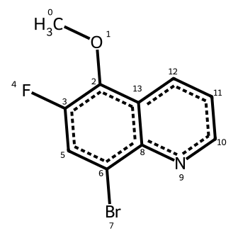 COc1c(F)cc(Br)c2ncccc12